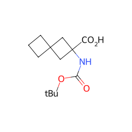 CC(C)(C)OC(=O)NC1(C(=O)O)CC2(CCC2)C1